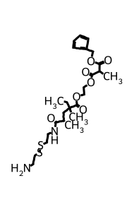 CCC(C)(CC(C)C(=O)NCCSSCCN)C(=O)OCCOC(=O)C(C)C(=O)OCc1ccccc1